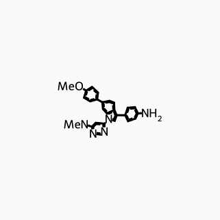 CNc1cc(-n2cc(-c3ccc(N)cc3)c3ccc(-c4ccc(OC)cc4)cc32)ncn1